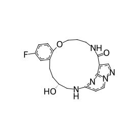 O=C1NCCCOc2ccc(F)cc2CC[C@@H](O)CNc2ccn3ncc1c3n2